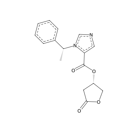 C[C@H](c1ccccc1)n1cncc1C(=O)O[C@@H]1COC(=O)C1